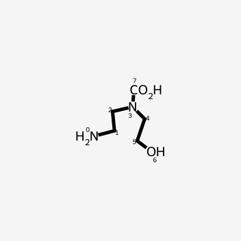 NCCN(CCO)C(=O)O